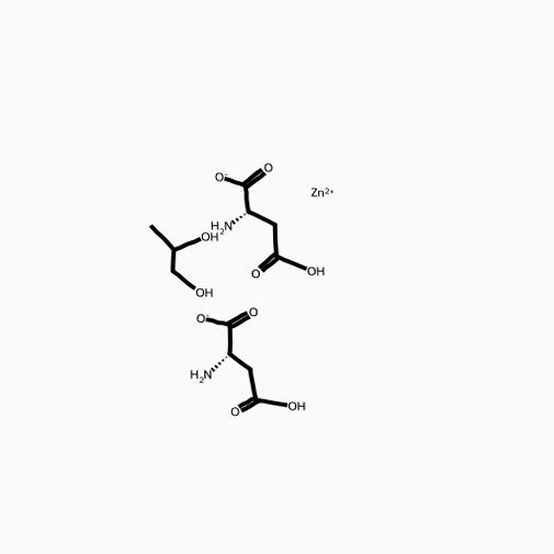 CC(O)CO.N[C@@H](CC(=O)O)C(=O)[O-].N[C@@H](CC(=O)O)C(=O)[O-].[Zn+2]